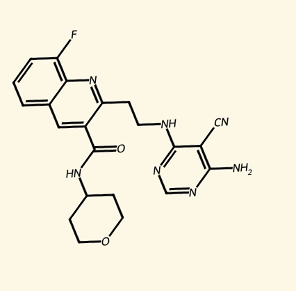 N#Cc1c(N)ncnc1NCCc1nc2c(F)cccc2cc1C(=O)NC1CCOCC1